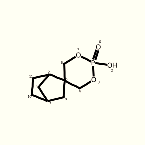 O=P1(O)OCC2(CO1)CC1CCC2C1